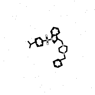 CC(C)c1ccc(S(=O)(=O)n2cc(CN3CCN(Cc4ccccc4)CC3)c3ccccc32)cc1